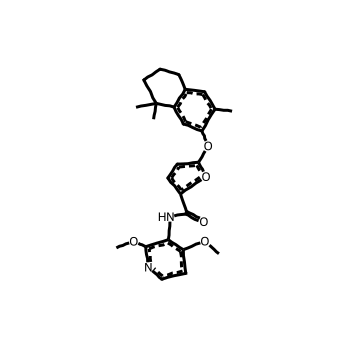 COc1ccnc(OC)c1NC(=O)c1ccc(Oc2cc3c(cc2C)CCCC3(C)C)o1